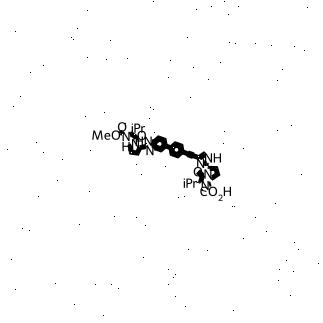 COC(=O)N[C@H](C(=O)N1CCCC1c1nc2cc(-c3ccc(C#Cc4c[nH]c([C@@H]5CCCN5C(=O)[C@@H](C(C)C)N(C)C(=O)O)n4)cc3)ccc2[nH]1)C(C)C